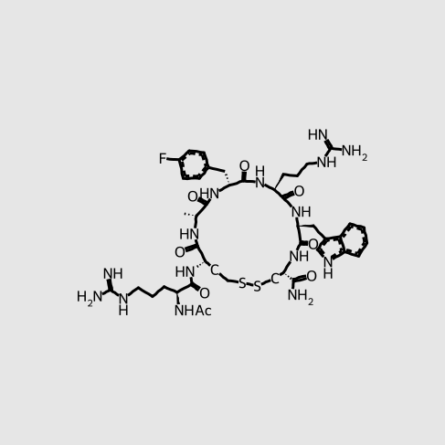 CC(=O)N[C@@H](CCCNC(=N)N)C(=O)N[C@H]1CCSSC[C@@H](C(N)=O)NC(=O)[C@H](Cc2c[nH]c3ccccc23)NC(=O)[C@H](CCCNC(=N)N)NC(=O)[C@@H](Cc2ccc(F)cc2)NC(=O)[C@@H](C)NC1=O